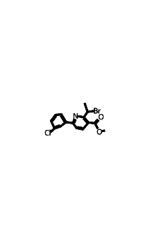 COC(=O)c1ccc(-c2cccc(Cl)c2)nc1C(C)Br